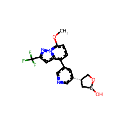 COc1ccc(-c2cncc([C@@H]3COB(O)C3)c2)c2cc(C(F)(F)F)nn12